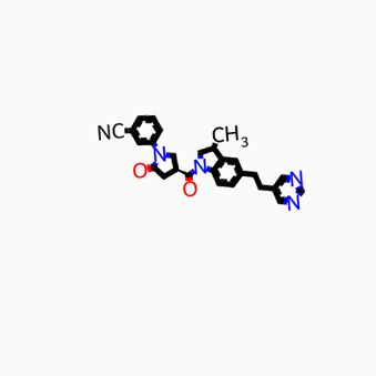 CC1CN(C(=O)[C@H]2CC(=O)N(c3cccc(C#N)c3)C2)c2ccc(CCc3cncnc3)cc21